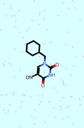 O=Nc1cn(CC2CCCCC2)c(=O)[nH]c1=O